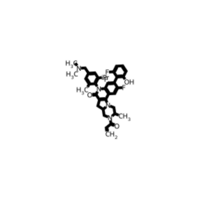 C=CC(=O)N1CC2Cc3c(c4cc(F)c(-c5c(O)cccc5F)c(F)c4n(-c4c(C)cc(CN(C)C)cc4C(C)C)c3=O)N2CC1C